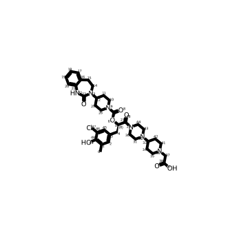 Cc1cc(C[C@@H](OC(=O)N2CCC(N3CCc4ccccc4NC3=O)CC2)C(=O)N2CCN(C3CCN(CC(=O)O)CC3)CC2)cc(Cl)c1O